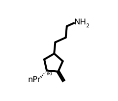 C=C1CC(CCCN)C[C@H]1CCC